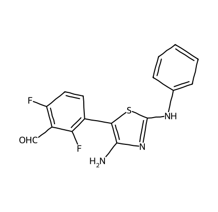 Nc1nc(Nc2ccccc2)sc1-c1ccc(F)c(C=O)c1F